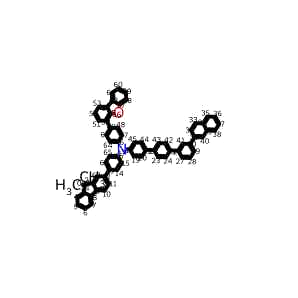 CC1(C)c2ccccc2-c2ccc(-c3ccc(N(c4ccc(-c5ccc(-c6cccc(-c7ccc8ccccc8c7)c6)cc5)cc4)c4ccc(-c5cccc6c5oc5ccccc56)cc4)cc3)cc21